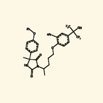 CCCc1cc(C(O)(C(F)(F)F)C(F)(F)F)ccc1OCCCC(C)N1C(=O)NC(C)(c2ccc(OC(C)C)cc2)C1=O